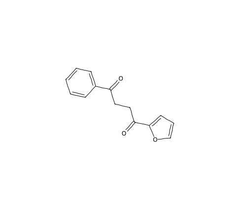 O=C(CCC(=O)c1ccco1)c1ccccc1